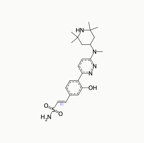 CN(c1ccc(-c2ccc(/C=C/S(N)(=O)=O)cc2O)nn1)C1CC(C)(C)NC(C)(C)C1